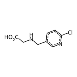 O=C(O)CNCc1ccc(Cl)nc1